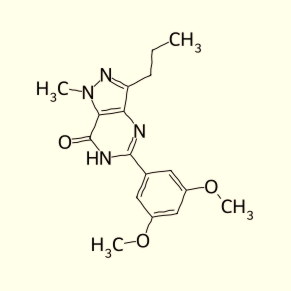 CCCc1nn(C)c2c(=O)[nH]c(-c3cc(OC)cc(OC)c3)nc12